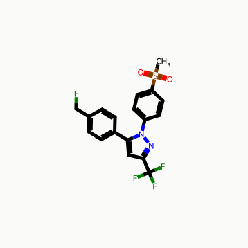 CS(=O)(=O)c1ccc(-n2nc(C(F)(F)F)cc2-c2ccc(CF)cc2)cc1